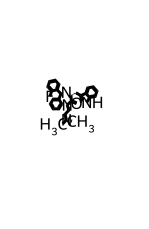 CN(C)CCN1C(=O)[C@@H](Cc2c[nH]c3ccccc23)N=C(c2ccccc2F)c2ccccc21